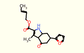 C/C=C/COC(=O)C1=C(C)C2C(=O)CC(c3ccco3)CC2N1